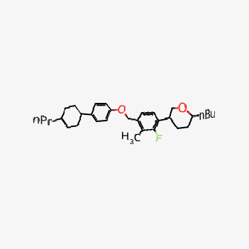 CCCCC1CCC(c2ccc(COc3ccc(C4CCC(CCC)CC4)cc3)c(C)c2F)CO1